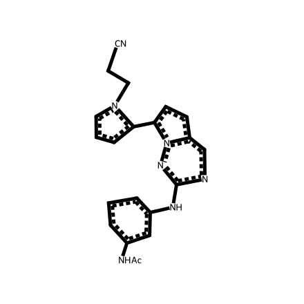 CC(=O)Nc1cccc(Nc2ncc3ccc(-c4cccn4CCC#N)n3n2)c1